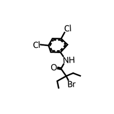 CCC(Br)(CC)C(=O)Nc1cc(Cl)cc(Cl)c1